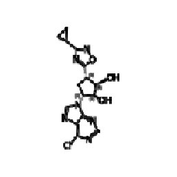 O[C@@H]1[C@H](O)[C@@H](c2nc(C3CC3)no2)C[C@H]1n1cnc2c(Cl)ncnc21